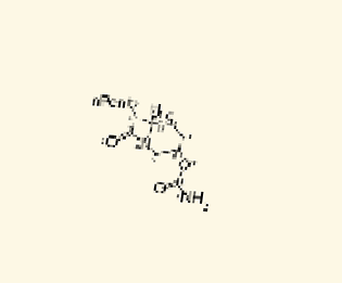 CCCCCC1C(=O)N2CC(OC(N)=O)CS[C@@H]12